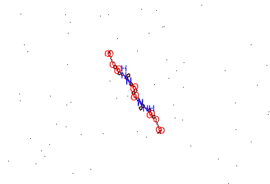 C=C(C)C(=O)OCCCCCCOc1ccc(C(=O)Oc2ccc(CNc3ccc(N=Nc4ccc(C(=O)Oc5cccc6c(OC(=O)c7ccc(/N=N/c8ccc(NCc9ccc(OC(=O)c%10ccc(OCCCCCCOC(=O)C(=C)C)cc%10)cc9)c9ccccc89)cc7)cccc56)cc4)c4ccccc34)cc2)cc1